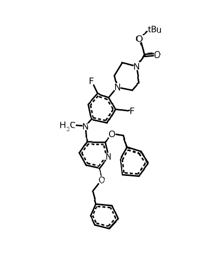 CN(c1cc(F)c(N2CCN(C(=O)OC(C)(C)C)CC2)c(F)c1)c1ccc(OCc2ccccc2)nc1OCc1ccccc1